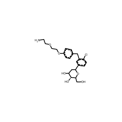 NCCOCCOc1ccc(Cc2cc(C3CC(O)[C@H](O)C(CO)O3)ccc2Cl)cc1